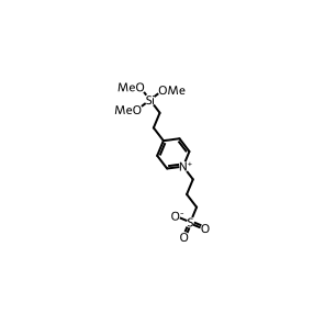 CO[Si](CCc1cc[n+](CCCS(=O)(=O)[O-])cc1)(OC)OC